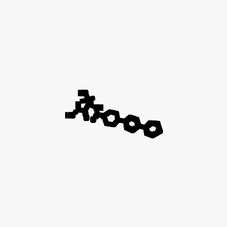 CC(C)(O)[C@@H](NC(=O)N1CCC(c2ccc(-c3ccccc3)cc2)CC1)C(=O)NO